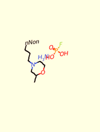 CCCCCCCCCCCCN1CCOC(C)C1.N.O=P(O)(O)F